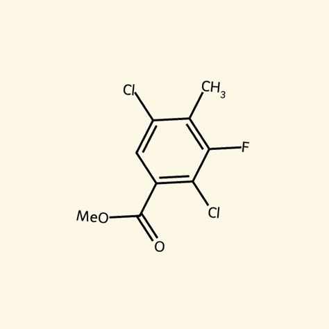 COC(=O)c1cc(Cl)c(C)c(F)c1Cl